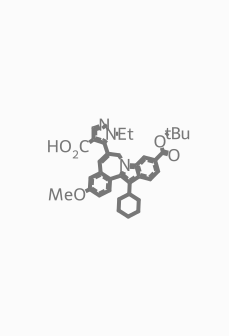 CCn1ncc(C(=O)O)c1C1=Cc2cc(OC)ccc2-c2c(C3CCCCC3)c3ccc(C(=O)OC(C)(C)C)cc3n2C1